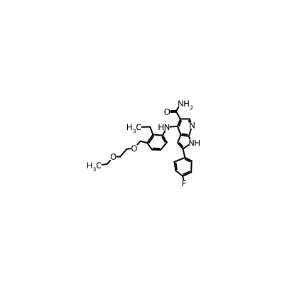 CCOCCOCc1cccc(Nc2c(C(N)=O)cnc3[nH]c(-c4ccc(F)cc4)cc23)c1CC